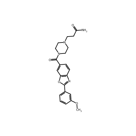 COc1cccc(-c2nc3ccc(C(=O)N4CCN(CCC(N)=O)CC4)cc3o2)c1